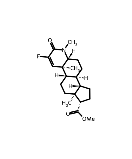 COC(=O)[C@H]1CC[C@H]2[C@@H]3CC[C@H]4N(C)C(=O)C(F)=C[C@]4(C)[C@H]3CC[C@]12C